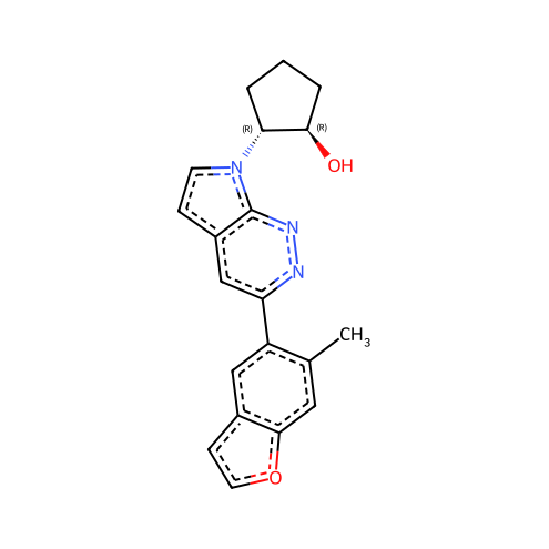 Cc1cc2occc2cc1-c1cc2ccn([C@@H]3CCC[C@H]3O)c2nn1